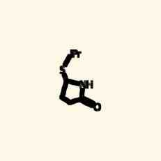 CC(C)SC1CCC(=O)N1